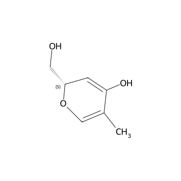 CC1=CO[C@H](CO)C=C1O